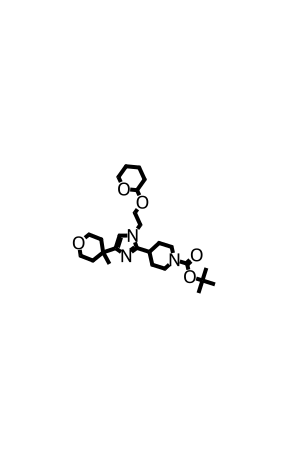 CC(C)(C)OC(=O)N1CCC(c2nc(C3(C)CCOCC3)cn2CCOC2CCCCO2)CC1